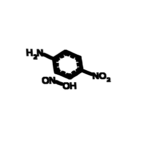 Nc1ccc([N+](=O)[O-])cc1.O=NO